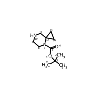 CC(C)(C)OC(=O)N1CCNCC12CC2